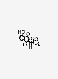 COC(=O)[C@H](CC(C)C)NC1=CC(=O)c2c(O)cccc2C1=O